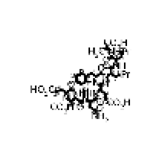 CC(C)CC(NC(=O)C(CC(C)C)NC(=O)C(Cc1ccccc1)NC(=O)C(CCC(=O)O)NC(=O)C(CC(N)=O)NC(=O)C(CC(=O)O)NC(=O)C(N)CCC(=O)O)C(=O)NC(C)C(=O)O